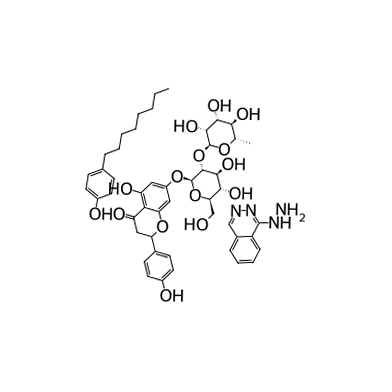 CCCCCCCCc1ccc(O)cc1.C[C@@H]1O[C@@H](O[C@H]2[C@H](Oc3cc(O)c4c(c3)OC(c3ccc(O)cc3)CC4=O)O[C@H](CO)[C@@H](O)[C@@H]2O)[C@H](O)[C@H](O)[C@H]1O.NNc1nncc2ccccc12